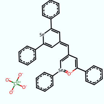 C(=C1C=C(c2ccccc2)[Se]C(c2ccccc2)=C1)C1=C[Se](c2ccccc2)=[O+]C(c2ccccc2)=C1.[O-][Cl+3]([O-])([O-])[O-]